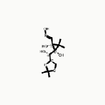 CC1(C)OC[C@H]([C@H](O)[C@]2(O)C(C)(C)[C@]2(O)C=NO)O1